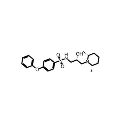 C[C@@H]1CCC[C@H](C)N1C[C@@H](O)CNS(=O)(=O)c1ccc(Oc2ccccc2)cc1